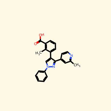 Cc1cc(-c2nn(-c3ccccc3)cc2-c2cccc(C(=O)O)c2C)ccn1